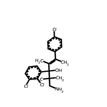 CC(=C(C)C(O)(c1cccc(Cl)c1Cl)C(C)(C)CN)c1ccc(Cl)cc1